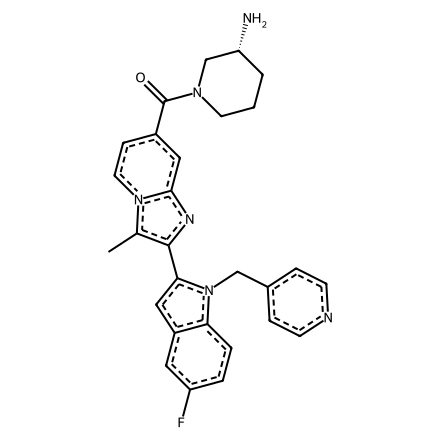 Cc1c(-c2cc3cc(F)ccc3n2Cc2ccncc2)nc2cc(C(=O)N3CCC[C@@H](N)C3)ccn12